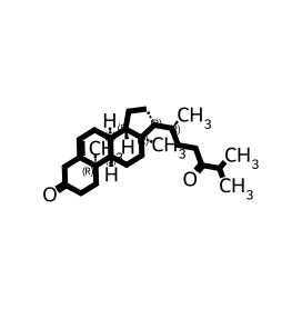 CC(C)C(=O)CC[C@@H](C)[C@H]1CC[C@H]2[C@@H]3CC=C4CC(=O)CC[C@]4(C)[C@H]3CC[C@]12C